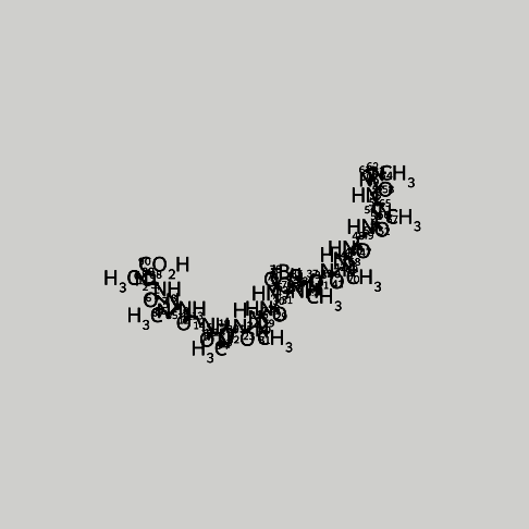 Cn1cc(NC(=O)c2nc(NC(=O)CCNC(=O)c3cc(NC(=O)c4nc(NC(=O)[C@@H](CCNC(=O)c5cc(NC(=O)c6nc(NC(=O)CCNC(=O)c7cc(NC(=O)c8nccn8C)cn7C)cn6C)cn5C)NC(=O)OC(C)(C)C)cn4C)cn3C)cn2C)cc1C(=O)O